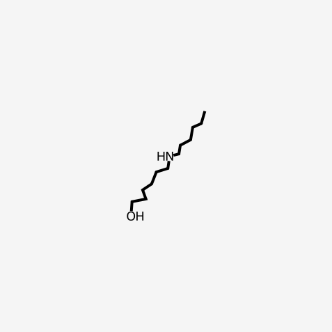 CCCCCCNCCCCCCO